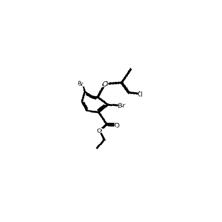 CCOC(=O)c1ccc(Br)c(OC(C)CCl)c1Br